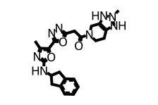 Cc1nc(NC2Cc3ccccc3C2)oc1-c1nnc(CC(=O)N2CCC3=C(C2)NN(C)N3)o1